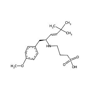 COc1ccc(C[C@@H](/C=C/C(C)(C)C)NCCCS(=O)(=O)O)cc1